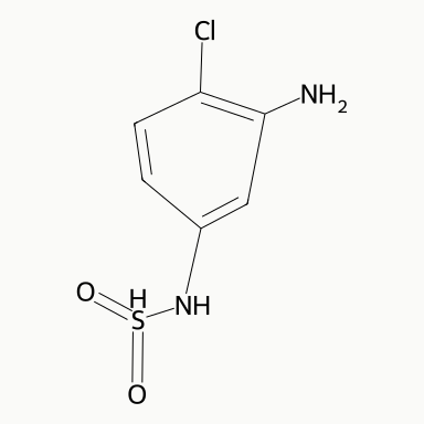 Nc1cc(N[SH](=O)=O)ccc1Cl